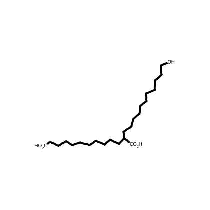 O=C(O)CCCCCCCCCCC(CCCCCCCCCCCO)C(=O)O